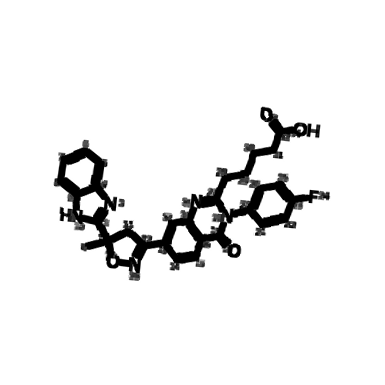 CC1(c2nc3ccccc3[nH]2)CC(c2ccc3c(=O)n(-c4ccc(F)cc4)c(CCCCC(=O)O)nc3c2)=NO1